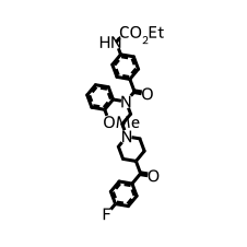 CCOC(=O)Nc1ccc(C(=O)N(CCN2CCC(C(=O)c3ccc(F)cc3)CC2)c2ccccc2OC)cc1